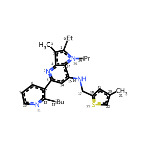 CCc1c(C)c2nc(-c3cccnc3C(C)CC)cc(NCc3cc(C)cs3)c2n1C(C)C